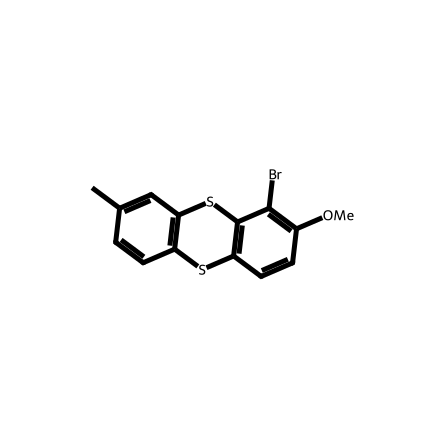 COc1ccc2c(c1Br)Sc1cc(C)ccc1S2